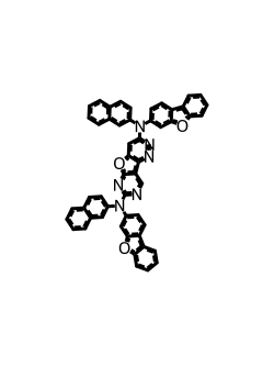 c1ccc2cc(N(c3ccc4c(c3)oc3ccccc34)c3cc4oc5nc(N(c6ccc7ccccc7c6)c6ccc7c(c6)oc6ccccc67)ncc5c4nn3)ccc2c1